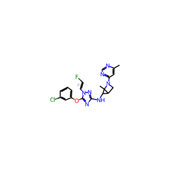 Cc1cc(N2CC3C(Nc4nc(Oc5cccc(Cl)c5)n(/C=C/F)n4)C32C)ncn1